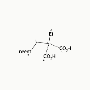 CCCCCCC(CC)(C(=O)O)C(=O)O